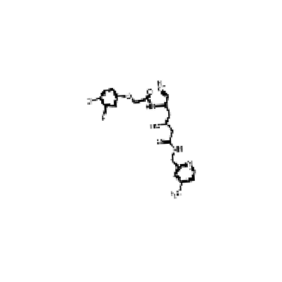 C=CC(CC(O)CC(=O)NCc1cc(C(F)(F)F)ccn1)NC(=O)COc1ccc(Cl)c(F)c1